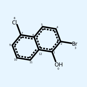 Oc1c(Br)ccc2c(Cl)cccc12